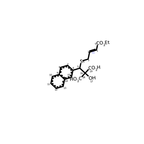 CCOC(=O)/C=C/CSC(c1ccc2ccccc2c1)C(O)(C(=O)O)C(=O)O